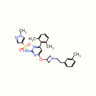 Cc1cccc(CCN2CC(Oc3cc(-c4c(C)cccc4C)nc(NS(=O)(=O)c4cnn(C)c4)n3)C2)c1